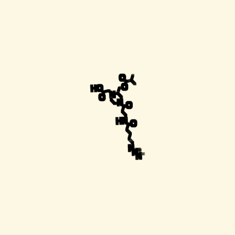 CC(C)C(=O)OCC1CN(C(=O)CCNC(=O)CCCCN=[N+]=[N-])CCN1CC(=O)O